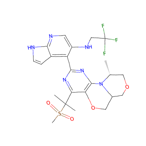 C[C@@H]1COCC2COc3c(nc(-c4c(NCC(F)(F)F)cnc5[nH]ccc45)nc3C(C)(C)S(C)(=O)=O)N21